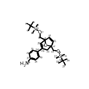 CC(C)(C)[Si](C)(C)OCC12C=CC(CO[Si](C)(C)C(C)(C)C)(CC(c3ccc(N)cc3)=C1)O2